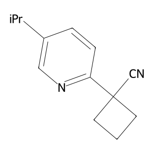 CC(C)c1ccc(C2(C#N)CCC2)nc1